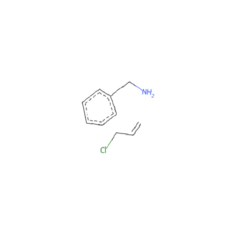 C=CCCl.NCc1ccccc1